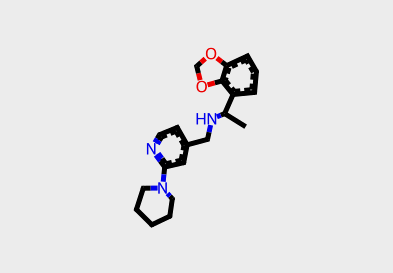 CC(NCc1ccnc(N2CCCCC2)c1)c1cccc2c1OCO2